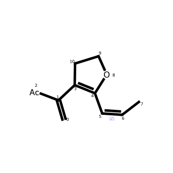 C=C(C(C)=O)C1=C(/C=C\C)OCC1